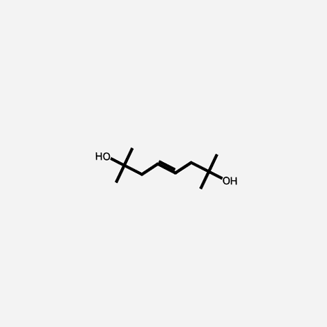 CC(C)(O)C/C=C/CC(C)(C)O